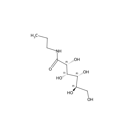 CCCNC(=O)[C@H](O)[C@@H](O)[C@H](O)[C@H](O)CO